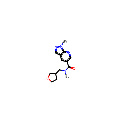 CCN(CC1CCOC1)C(=O)c1cnc2c(cnn2C(C)C)c1